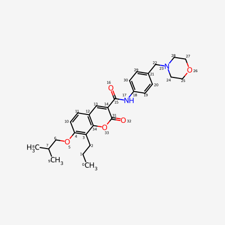 CCCc1c(OCC(C)C)ccc2cc(C(=O)Nc3ccc(CN4CCOCC4)cc3)c(=O)oc12